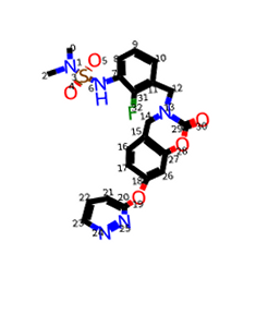 CN(C)S(=O)(=O)Nc1cccc(CN2Cc3ccc(Oc4cccnn4)cc3OC2=O)c1F